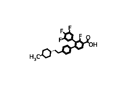 C[C@H]1CC[C@H](CCc2ccc(-c3ccc(C(=O)O)c(F)c3-c3cc(F)c(F)c(F)c3)cc2)CC1